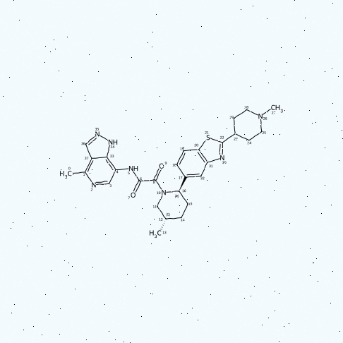 Cc1ncc(NC(=O)C(=O)N2C[C@@H](C)CC[C@@H]2c2ccc3sc(C4CCN(C)CC4)nc3c2)c2[nH]ncc12